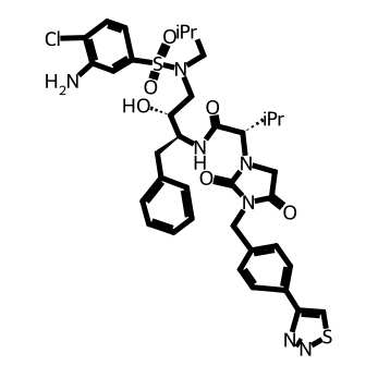 CC(C)CN(C[C@@H](O)[C@H](Cc1ccccc1)NC(=O)[C@H](C(C)C)N1CC(=O)N(Cc2ccc(-c3csnn3)cc2)C1=O)S(=O)(=O)c1ccc(Cl)c(N)c1